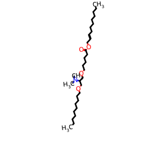 CCCCCCCCC=CCOC(=O)CCCCCOCC(COCCCCCCCCCC)N(C)C